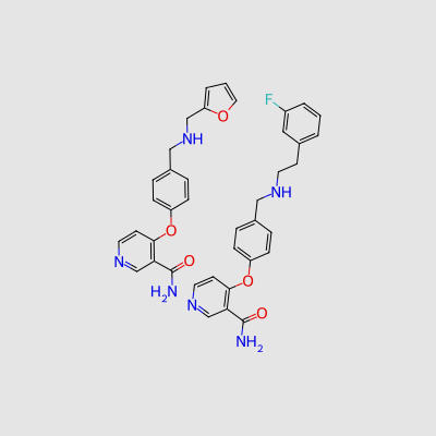 NC(=O)c1cnccc1Oc1ccc(CNCCc2cccc(F)c2)cc1.NC(=O)c1cnccc1Oc1ccc(CNCc2ccco2)cc1